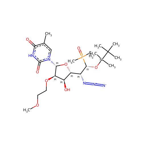 COCCO[C@@H]1[C@H](O)[C@@H]([C@@H](N=[N+]=[N-])[C@@H](O[Si](C)(C)C(C)(C)C)P(C)(C)=O)O[C@H]1n1cc(C)c(=O)[nH]c1=O